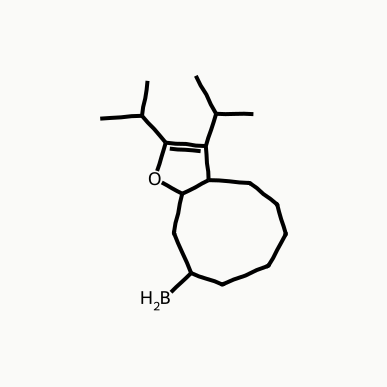 BC1CCCCCC2C(C(C)C)=C(C(C)C)OC2C1